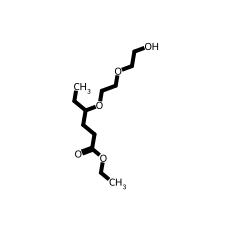 CCOC(=O)CCC(CC)OCCOCCO